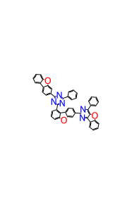 c1ccc(-c2nc(-c3ccc4c(c3)oc3ccccc34)nc(-c3cccc4oc5cc(-c6nc(-c7ccccc7)c7oc8ccccc8c7n6)ccc5c34)n2)cc1